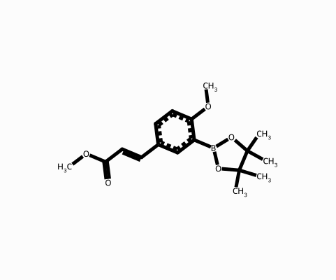 COC(=O)C=Cc1ccc(OC)c(B2OC(C)(C)C(C)(C)O2)c1